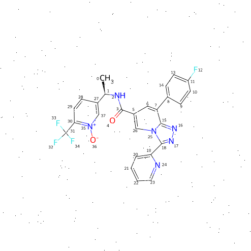 C[C@@H](NC(=O)c1cc(-c2ccc(F)cc2)c2nnc(-c3ccccn3)n2c1)c1ccc(C(F)(F)F)[n+]([O-])c1